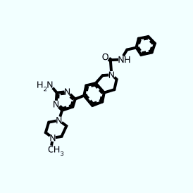 CN1CCN(c2cc(-c3ccc4c(c3)CN(C(=O)NCc3ccccc3)CC4)nc(N)n2)CC1